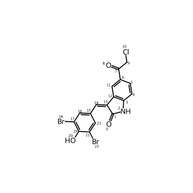 O=C1Nc2ccc(C(=O)CCl)cc2C1=Cc1cc(Br)c(O)c(Br)c1